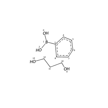 OB(O)c1ccccc1.OCCCO